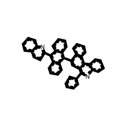 c1ccc(-c2nc3ccccc3c3c2cc(-c2c4ccccc4c(-c4ccc5ccccc5n4)c4ccccc24)c2ccccc23)cc1